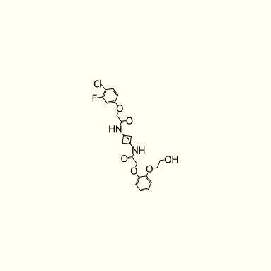 O=C(COc1ccc(Cl)c(F)c1)NC12CC(NC(=O)COc3ccccc3OCCO)(C1)C2